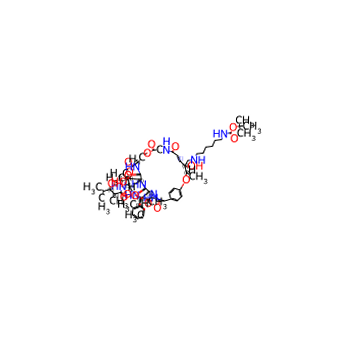 CC[C@H](C)[C@H]1NC(=O)[C@@H](NC(=O)[C@H](C)[C@H](O)C(C)C)[C@@H](C)OC(=O)[C@@H]2COC(=O)CNC(=O)/C=C/[C@](O)(CNCCCCCCNC(=O)OC(C)(C)C)[C@@H](C)Oc3ccc(cc3)C(NC1=O)C(=O)N(C)[C@@H](Cc1ccccc1)C(=O)N[C@H]([C@@H](C)O)C(=O)N2